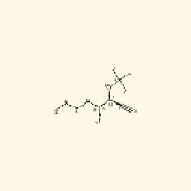 C#C[C@H](OC(C)(C)C)[C@@H](F)CCCC